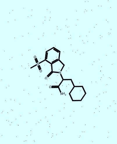 CS(=O)(=O)c1cccc2c1C(=O)N(C(CC1CCCCC1)C(N)=O)C2